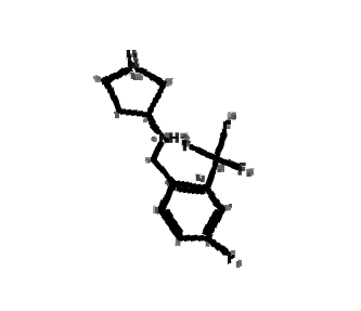 Fc1ccc(CNC2CCNC2)c(C(F)(F)F)c1